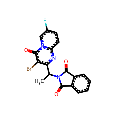 CC(c1nc2ccc(F)cn2c(=O)c1Br)N1C(=O)c2ccccc2C1=O